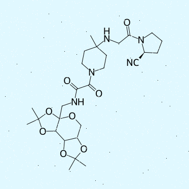 CC1(NCC(=O)N2CCC[C@H]2C#N)CCN(C(=O)C(=O)NCC23OCC4OC(C)(C)OC4C2OC(C)(C)O3)CC1